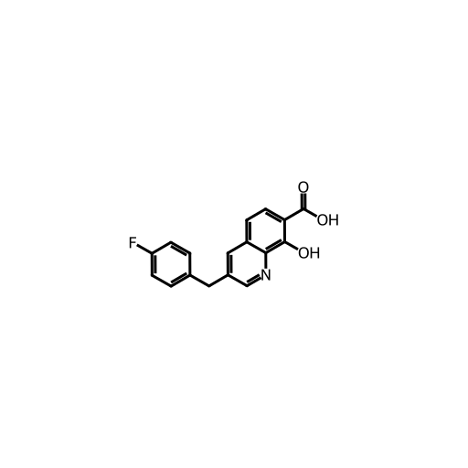 O=C(O)c1ccc2cc(Cc3ccc(F)cc3)cnc2c1O